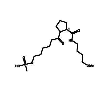 COCCCCNC(=O)[C@@H]1CCCN1C(=O)CCCCCOP(C)(=O)O